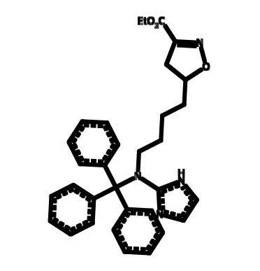 CCOC(=O)C1=NOC(CCCCN(c2ncc[nH]2)C(c2ccccc2)(c2ccccc2)c2ccccc2)C1